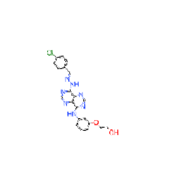 OCCOc1cccc(Nc2ncnc3c(NN=Cc4ccc(Cl)cc4)ncnc23)c1